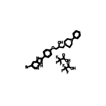 O=C(O)C(F)(F)F.O=C(O)C(F)(F)F.OC(COc1ccc(-c2nc3cc(Br)cnc3[nH]2)cc1)CN1CCN(c2ccccc2)CC1